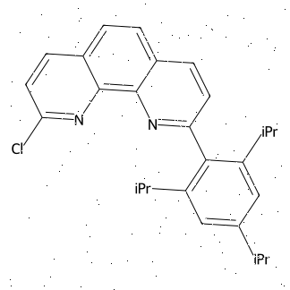 CC(C)c1cc(C(C)C)c(-c2ccc3ccc4ccc(Cl)nc4c3n2)c(C(C)C)c1